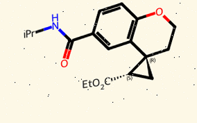 CCOC(=O)[C@H]1C[C@@]12CCOc1ccc(C(=O)NC(C)C)cc12